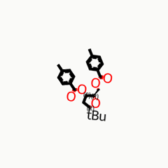 Cc1ccc(C(=O)OC[C@H]2O[C@@H](C(C)(C)C)C[C@@H]2OC(=O)c2ccc(C)cc2)cc1